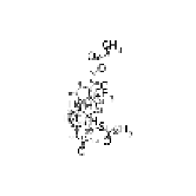 CCC(=O)OCC(=O)[C@H]1CC[C@H]2[C@@H]3CCC4=CC(=O)CC(SC(C)=O)[C@]4(C)[C@H]3CC[C@]12C